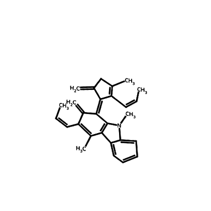 C=C1CC(C)=C(/C=C\C)/C1=c1/c(=C)c(/C=C\C)c(C)c2c3ccccc3n(C)c12